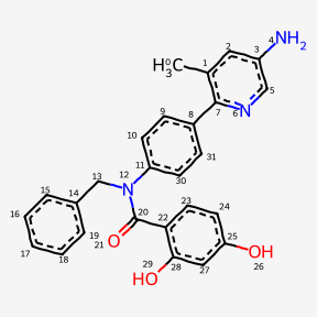 Cc1cc(N)cnc1-c1ccc(N(Cc2ccccc2)C(=O)c2ccc(O)cc2O)cc1